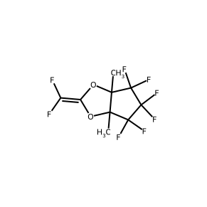 CC12OC(=C(F)F)OC1(C)C(F)(F)C(F)(F)C2(F)F